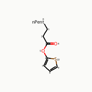 CCCCCCCC(=O)Oc1cccs1